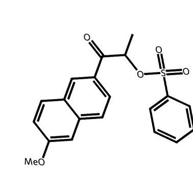 COc1ccc2cc(C(=O)C(C)OS(=O)(=O)c3ccccc3)ccc2c1